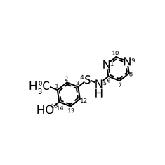 Cc1cc(SNc2ccncn2)ccc1O